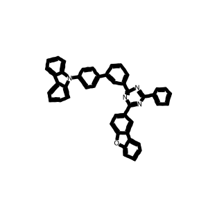 c1ccc(-c2nc(-c3cccc(-c4ccc(-n5c6ccccc6c6ccccc65)cc4)c3)nc(-c3ccc4oc5ccccc5c4c3)n2)cc1